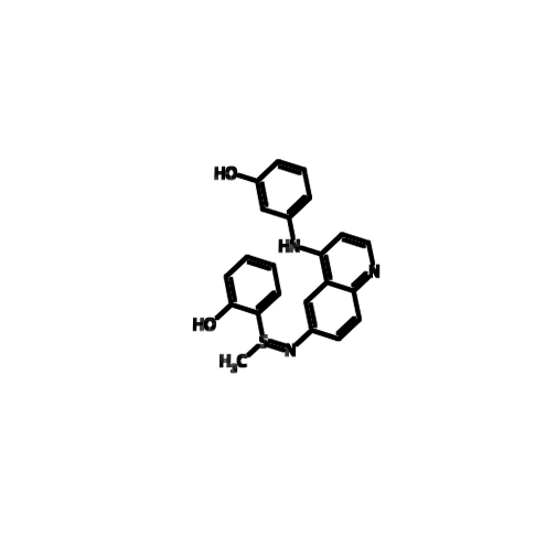 CS(=Nc1ccc2nccc(Nc3cccc(O)c3)c2c1)c1ccccc1O